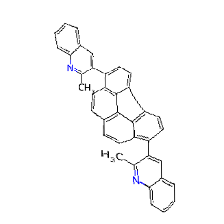 Cc1nc2ccccc2cc1-c1ccc2c3c1ccc1ccc4c(-c5cc6ccccc6nc5C)ccc-2c4c13